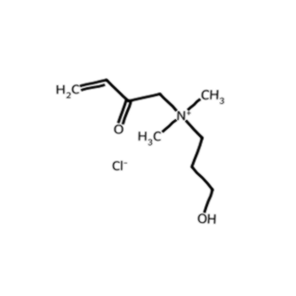 C=CC(=O)C[N+](C)(C)CCCO.[Cl-]